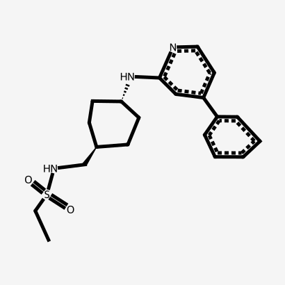 CCS(=O)(=O)NC[C@H]1CC[C@H](Nc2cc(-c3ccccc3)ccn2)CC1